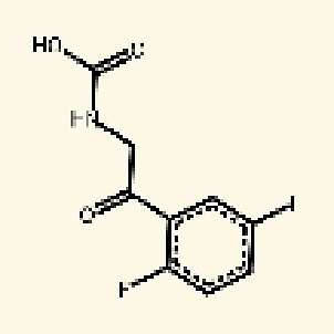 O=C(O)NCC(=O)c1cc(F)ccc1F